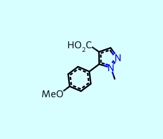 COc1ccc(-c2c(C(=O)O)cnn2C)cc1